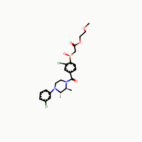 COCCOC(=O)C[S+]([O-])c1ccc(C(=O)N2CCN(c3cccc(Cl)c3)[C@@H](C)[C@@H]2C)cc1Cl